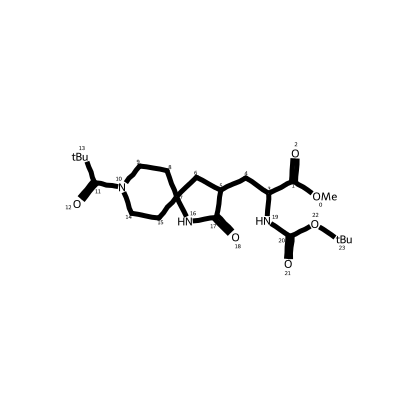 COC(=O)C(CC1CC2(CCN(C(=O)C(C)(C)C)CC2)NC1=O)NC(=O)OC(C)(C)C